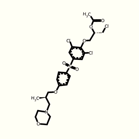 CC(=O)O[C@H](CCl)COc1c(Cl)cc(S(=O)(=O)c2ccc(OC[C@H](C)CN3CCOCC3)cc2)cc1Cl